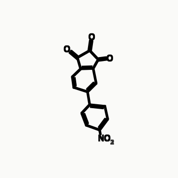 O=c1c(=O)c2ccc(-c3ccc([N+](=O)[O-])cc3)cc2c1=O